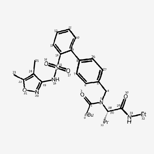 CCCCC(=O)N(Cc1ccc(-c2ccccc2S(=O)(=O)Nc2noc(C)c2C)cc1)[C@H](C(=O)NCC)C(C)C